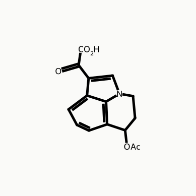 CC(=O)OC1CCn2cc(C(=O)C(=O)O)c3cccc1c32